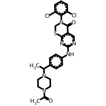 CC(=O)N1CCN(C(C)c2ccc(Nc3ncc4c(n3)SCN(c3c(Cl)cccc3Cl)C4=O)cc2)CC1